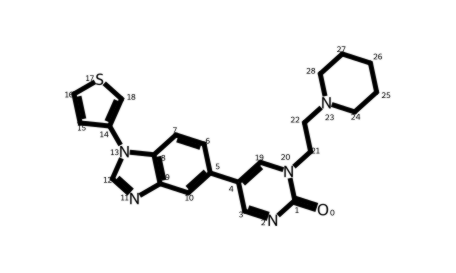 O=c1ncc(-c2ccc3c(c2)ncn3-c2ccsc2)cn1CCN1CCCCC1